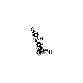 CC(C)(O)[C@H]1CC[C@H](NC(=O)c2ccc(-c3nc(CO)cc4occc34)cc2)CC1